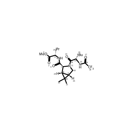 COC(=O)[C@@H](NC(=O)[C@@H]1[C@@H]2[C@H](CN1C(=O)[C@@H](NC(=O)C(F)(F)F)C(C)(C)C)C2(C)C)C(C)C